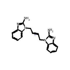 Nc1nc2ccccc2n1C/C=C/Cn1c(N)nc2ccccc21